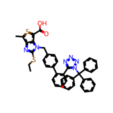 CCSc1nc2c(C)sc(C(=O)O)c2n1Cc1ccc(-c2ccccc2-c2nnnn2C(c2ccccc2)(c2ccccc2)c2ccccc2)cc1